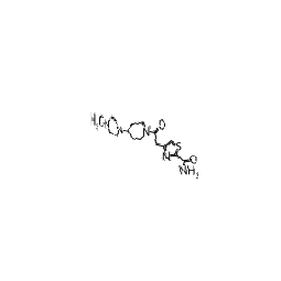 CN1CCN(C2CCN(C(=O)Cc3csc(C(N)=O)n3)CC2)CC1